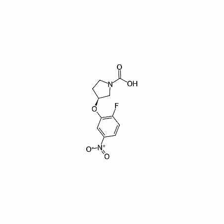 O=C(O)N1CC[C@H](Oc2cc([N+](=O)[O-])ccc2F)C1